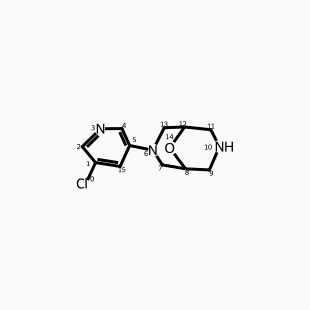 Clc1cncc(N2CC3CNCC(C2)O3)c1